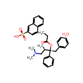 CCC(=O)O[C@](Cc1ccccc1)(c1ccccc1)[C@H](C)CN(C)C.O.O=S(=O)(O)c1ccc2ccccc2c1